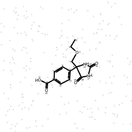 CCOCC1(c2ccc(C(=O)O)cc2)NC(=O)NC1=O